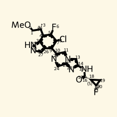 COC[C@H](C)c1c(F)c(Cl)c(-c2cn3cc(NC(=O)[C@@H]4C[C@@H]4F)nc3cn2)c2cn[nH]c12